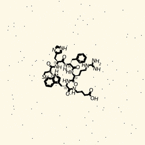 N=C(N)NCCC[C@H](NC(=O)[C@@H](Cc1ccccc1)NC(=O)[C@H](Cc1c[nH]cn1)NC(=O)[C@@H](N)CS)C(=O)N[C@@H](Cc1c[nH]c2ccccc12)C(=O)NCCCC(=O)O